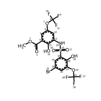 COC(=O)c1cc(OC(F)(F)F)cc(NS(=O)(=O)c2cc(Br)cc(OC(F)(F)F)c2O)c1O